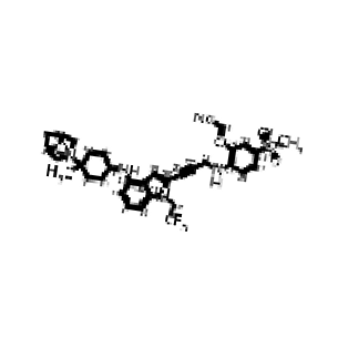 CC1(N2CC3CC(C2)O3)CCC(Nc2cccc3c2cc(C#CCNc2ccc(S(C)(=O)=O)cc2OCC#N)n3CC(F)(F)F)CC1